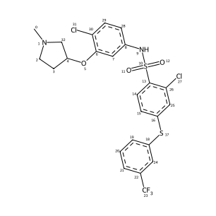 CN1CCC(Oc2cc(NS(=O)(=O)c3ccc(Sc4cccc(C(F)(F)F)c4)cc3Cl)ccc2Cl)C1